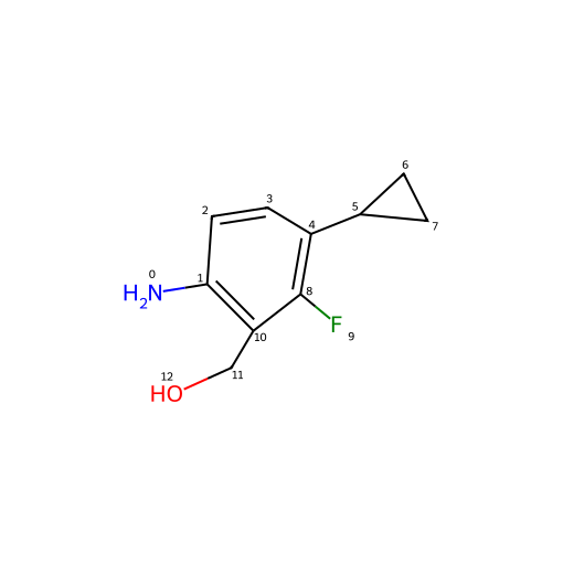 Nc1ccc(C2CC2)c(F)c1CO